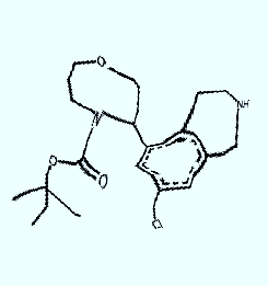 CC(C)(C)OC(=O)N1CCOCC1c1cc(Cl)cc2c1CCNC2